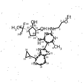 CCOCCNc1nc(C)c(-c2nc3c(C4CC4)nccc3s2)c(N[C@@H]2C[C@H](C(C)(F)F)[C@@H](O)[C@H]2O)n1